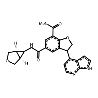 CNC(=O)c1cc(C(=O)NC2[C@H]3COC[C@@H]23)cc2c1OCC2c1ccnc2[nH]ccc12